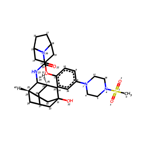 CS(=O)(=O)N1CCN(c2ccc(OC3CC4CCC(C3)N4C(=O)NC3[C@@H]4CC5C[C@H]3CC(O)(C5)C4)cc2)CC1